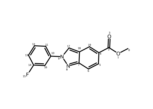 COC(=O)c1ccc2nn(-c3cccc(F)c3)cc2c1